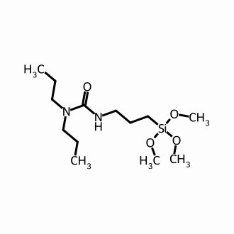 CCCN(CCC)C(=O)NCCC[Si](OC)(OC)OC